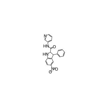 O=C(Nc1cccnc1)C1Nc2ccc([N+](=O)[O-])cc2C1c1ccccc1